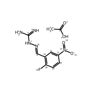 CC(=O)O.N=C(N)NN=Cc1cc([N+](=O)[O-])ccc1F